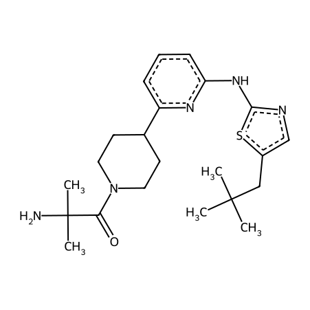 CC(C)(C)Cc1cnc(Nc2cccc(C3CCN(C(=O)C(C)(C)N)CC3)n2)s1